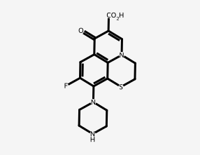 O=C(O)c1cn2c3c(c(N4CCNCC4)c(F)cc3c1=O)SCC2